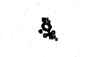 Nc1ccc(S(N)(=O)=O)cc1.[S]